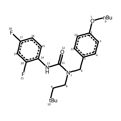 CCCCOc1ccc(CN(CCC(C)(C)C)C(=O)Nc2ccc(F)cc2F)cc1